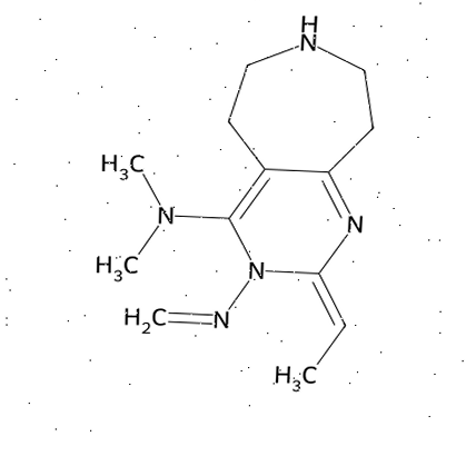 C=NN1C(N(C)C)=C2CCNCCC2=N/C1=C/C